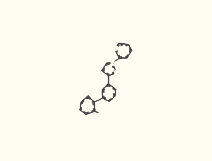 FC(F)(F)c1ccccc1-c1cccc(-c2ccn(-c3ccccn3)n2)c1